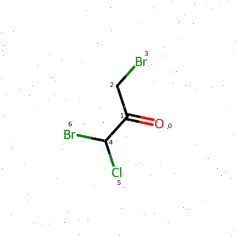 O=C(CBr)C(Cl)Br